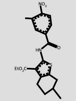 CCOC(=O)c1c(NC(=O)c2ccc([N+](=O)[O-])c(C)c2)sc2c1CCC(C)C2